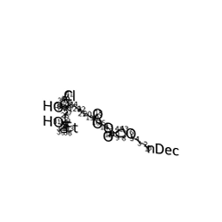 CCCCCCCCCCCCCCCOc1ccc(C(=O)OCCOC(=O)CCCC=CC[C@@H]2[C@@H](C=CC[C@H](O)C3(CC)CCC3)[C@H](O)C[C@H]2Cl)cc1